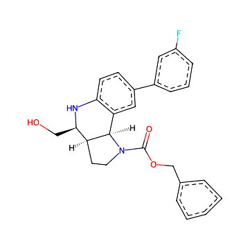 O=C(OCc1ccccc1)N1CC[C@@H]2[C@H]1c1cc(-c3cccc(F)c3)ccc1N[C@@H]2CO